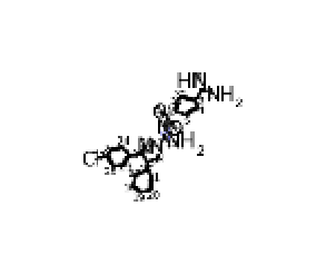 N=C(N)c1ccc(S(=O)(=O)/N=C(\N)N2CC(c3ccccc3)C(c3ccc(Cl)cc3)=N2)cc1